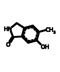 Cc1cc2c(cc1O)C(=O)NC2